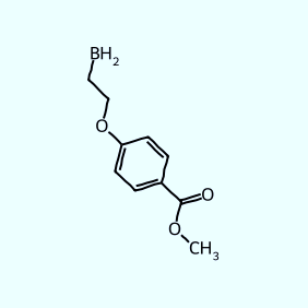 BCCOc1ccc(C(=O)OC)cc1